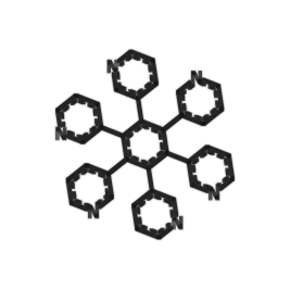 c1cncc(-c2c(-c3cccnc3)c(-c3cccnc3)c(-c3cccnc3)c(-c3cccnc3)c2-c2cccnc2)c1